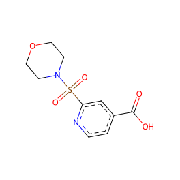 O=C(O)c1ccnc(S(=O)(=O)N2CCOCC2)c1